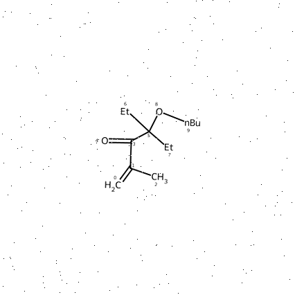 C=C(C)C(=O)C(CC)(CC)OCCCC